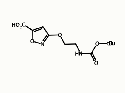 CC(C)(C)OC(=O)NCCOc1cc(C(=O)O)on1